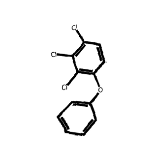 Clc1c[c]c(Oc2ccccc2)c(Cl)c1Cl